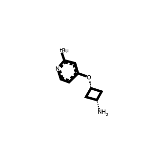 CC(C)(C)c1cc(O[C@H]2C[C@@H](N)C2)ccn1